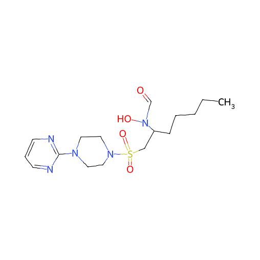 CCCCCC(CS(=O)(=O)N1CCN(c2ncccn2)CC1)N(O)C=O